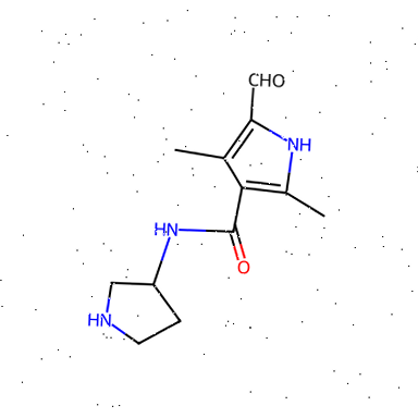 Cc1[nH]c(C=O)c(C)c1C(=O)NC1CCNC1